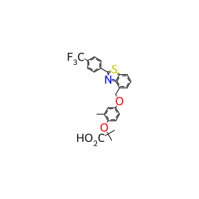 Cc1cc(OCc2cccc3sc(-c4ccc(C(F)(F)F)cc4)nc23)ccc1OC(C)(C)C(=O)O